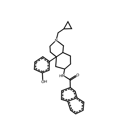 O=C(NC1CCC2CN(CC3CC3)CCC2(c2cccc(O)c2)C1)c1ccc2ccccc2c1